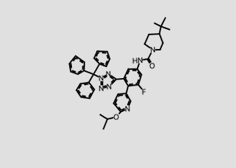 CC(C)Oc1ccc(-c2c(F)cc(NC(=O)N3CCC(C(C)(C)C)CC3)cc2-c2nnn(C(c3ccccc3)(c3ccccc3)c3ccccc3)n2)cn1